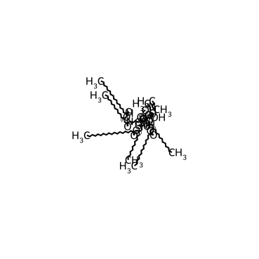 CCCCCCCCCCCCCCCCCC(=O)O[C@H](CCCCCCCCCCC)CC(=O)N[C@@H]1[C@@H](OCCNC(=O)C[C@@H](CCCCCCCCCCC)OC(=O)CCCCCCCCCCCCCCC)O[C@H](CO)[C@@H](OP(=O)(O)O)[C@@H]1OC(=O)C[C@@H](CCCCCCCCCCC)OC(=O)CCCCCCCCCCCCC.CCN(CC)CC